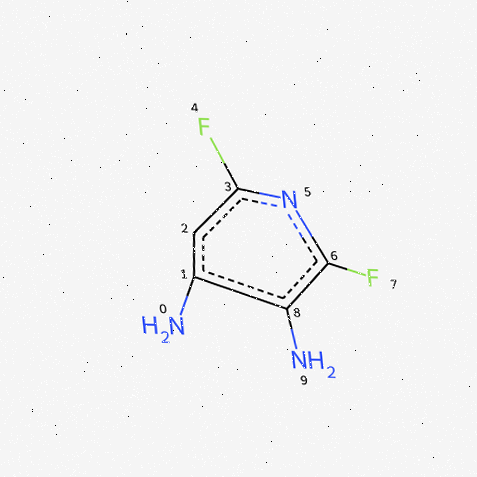 Nc1cc(F)nc(F)c1N